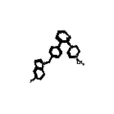 CN1CCN(c2ncccc2-c2ccc(Cn3ccc4cc(F)ccc43)cc2)CC1